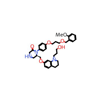 COc1ccccc1COCCCOc1ccc(N2C(=O)CNC[C@@H]2COc2ccc3c(c2)N(CCCO)CCC3)cc1